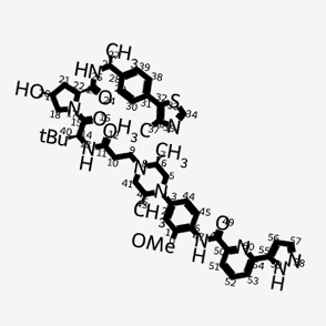 COc1cc(N2C[C@H](C)N(CCC(=O)N[C@H](C(=O)N3C[C@H](O)C[C@H]3C(=O)N[C@@H](C)c3ccc(-c4scnc4C)cc3)C(C)(C)C)C[C@@H]2C)ccc1NC(=O)c1cccc(-c2ccn[nH]2)n1